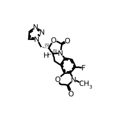 CN1C(=O)COc2c3c(cc(F)c21)N1C(=O)O[C@@H](Cn2ccnn2)[C@@H]1C3